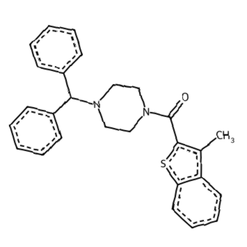 Cc1c(C(=O)N2CCN(C(c3ccccc3)c3ccccc3)CC2)sc2ccccc12